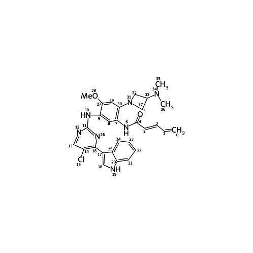 C=C/C=C/C(=O)Nc1cc(Nc2ncc(Cl)c(-c3c[nH]c4ccccc34)n2)c(OC)cc1N1CC(N(C)C)C1